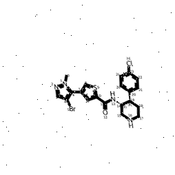 Cn1ncc(Br)c1-c1csc(C(=O)N[C@H]2CNCC[C@@H]2c2ccc(Cl)cc2)c1